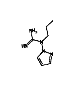 CCCN(C(=N)N)n1cccn1